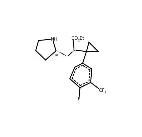 CCOC(=O)N(C[C@@H]1CCCN1)C1(c2ccc(F)c(C(F)(F)F)c2)CC1